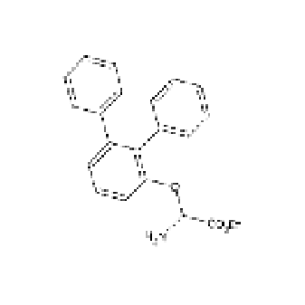 CCOC(=O)C(N)Oc1cccc(-c2ccccc2)c1-c1ccccc1